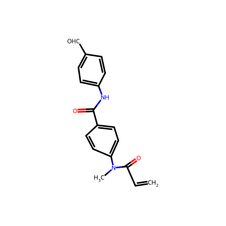 C=CC(=O)N(C)c1ccc(C(=O)Nc2ccc(C=O)cc2)cc1